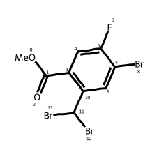 COC(=O)c1cc(F)c(Br)cc1C(Br)Br